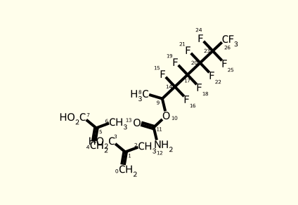 C=C(C)C(=O)O.C=C(C)C(=O)O.CC(OC(N)=O)C(F)(F)C(F)(F)C(F)(F)C(F)(F)C(F)(F)F